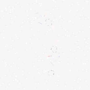 COc1cc2c(cc1OCCCOc1cc3c(cc1C)C(=O)N1C=C(c4ccc(N)cc4)C[C@H]1C=N3)N=C[C@@H]1CC(C3CC3)=CN1C2=O